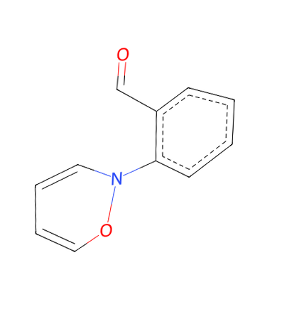 O=Cc1ccccc1N1C=CC=CO1